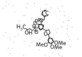 CCCOc1c(OCc2ccccc2)cc(C2CCC(c3cc(OC)c(OC)c(OC)c3)O2)cc1S(=O)(=O)CCC(C)O